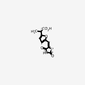 CC(C(=O)O)c1ccc(/C=C2/SC(=O)NC2=O)o1